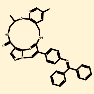 CC1CNC(=O)c2cnn3cc(-c4ccc(N=C(c5ccccc5)c5ccccc5)cc4)c(nc23)NCc2cc(F)cnc2O1